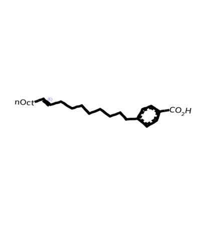 CCCCCCCC/C=C/CCCCCCCCc1ccc(C(=O)O)cc1